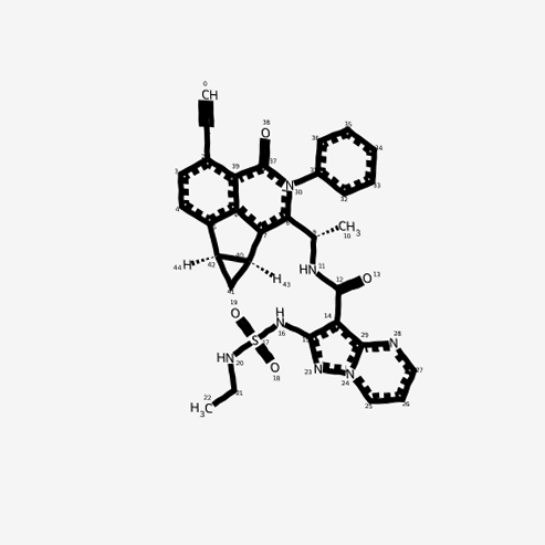 C#Cc1ccc2c3c(c([C@H](C)NC(=O)c4c(NS(=O)(=O)NCC)nn5cccnc45)n(-c4ccccc4)c(=O)c13)[C@H]1C[C@@H]21